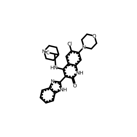 O=c1[nH]c2cc(N3CCOCC3)c(Cl)cc2c(NC2CN3CCC2CC3)c1-c1nc2ccccc2[nH]1